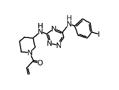 C=CC(=O)N1CCCC(Nc2nncc(Nc3ccc(I)cc3)n2)C1